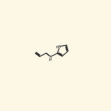 C=CCNc1ccc[nH]1